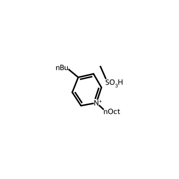 CCCCCCCC[n+]1ccc(CCCC)cc1.CS(=O)(=O)O